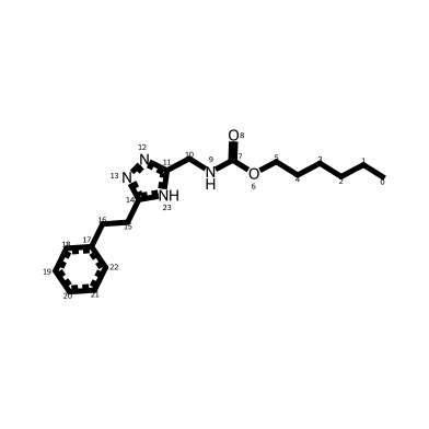 CCCCCCOC(=O)NCc1nnc(CCc2ccccc2)[nH]1